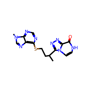 CC(CCSc1ncnc2c1ncn2C)c1nnc2c(=O)[nH]ccn12